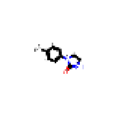 CC(C)c1ccc(N2CCNC2=O)cc1